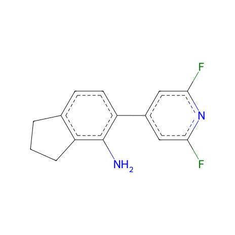 Nc1c(-c2cc(F)nc(F)c2)ccc2c1CCC2